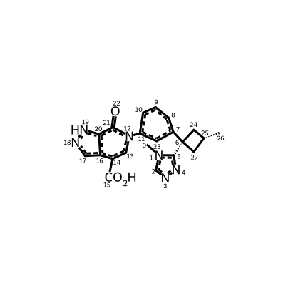 Cn1cnnc1[C@]1(c2cccc(-n3cc(C(=O)O)c4cn[nH]c4c3=O)c2)C[C@H](C)C1